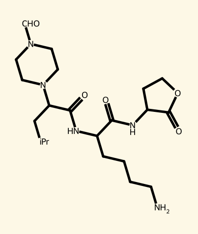 CC(C)CC(C(=O)NC(CCCCN)C(=O)NC1CCOC1=O)N1CCN(C=O)CC1